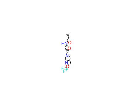 O=C(CCC1CC1)N[C@H]1CC[C@H](CCN2CCc3ccc(OCC(F)(F)F)nc3CC2)OC1